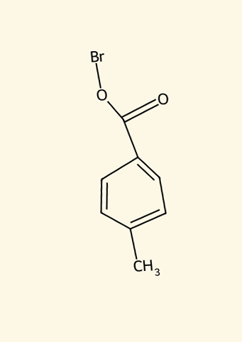 Cc1ccc(C(=O)OBr)cc1